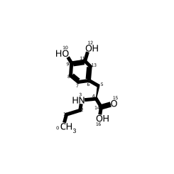 CCCN[C@@H](Cc1ccc(O)c(O)c1)C(=O)O